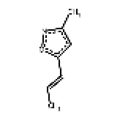 CC=Cc1cc(C)no1